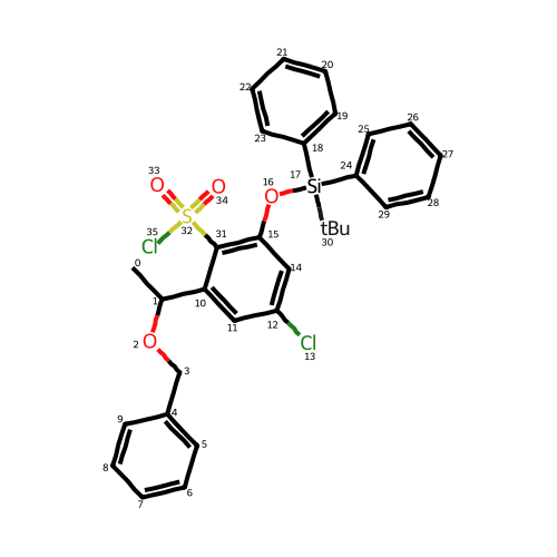 CC(OCc1ccccc1)c1cc(Cl)cc(O[Si](c2ccccc2)(c2ccccc2)C(C)(C)C)c1S(=O)(=O)Cl